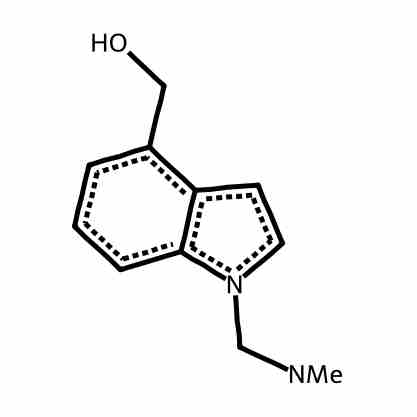 CNCn1ccc2c(CO)cccc21